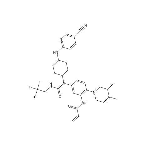 C=CC(=O)Nc1cc(N(C(=O)NCC(F)(F)F)C2CCC(Nc3ccc(C#N)cn3)CC2)ccc1N1CCN(C)C(C)C1